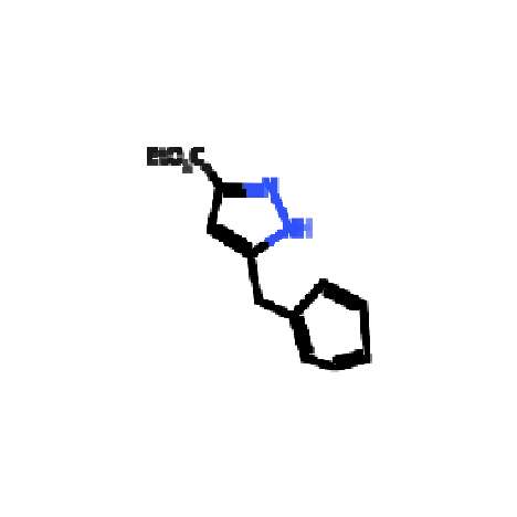 CCOC(=O)c1cc(Cc2ccccc2)[nH]n1